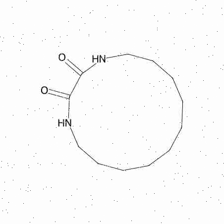 O=C1NCCCCCCCCCCNC1=O